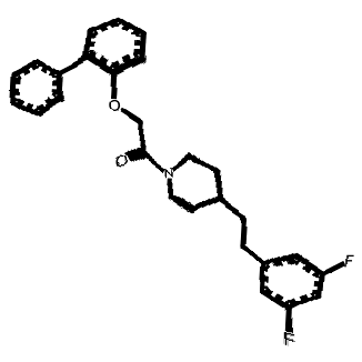 O=C(COc1ccccc1-c1ccccc1)N1CCC(CCc2cc(F)cc(F)c2)CC1